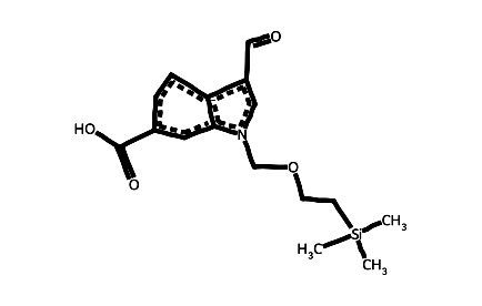 C[Si](C)(C)CCOCn1cc(C=O)c2ccc(C(=O)O)cc21